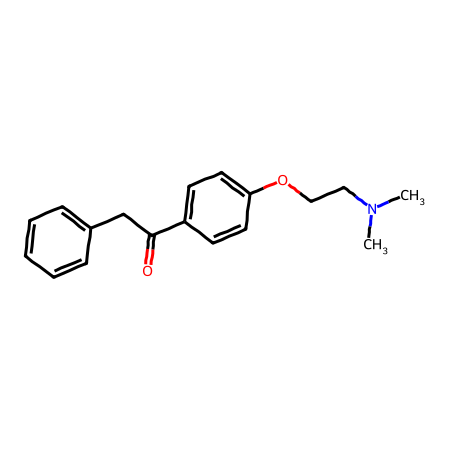 CN(C)CCOc1ccc(C(=O)Cc2ccccc2)cc1